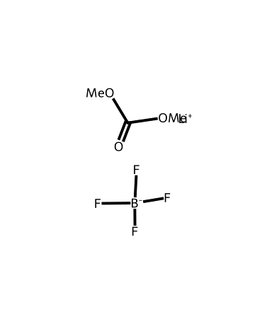 COC(=O)OC.F[B-](F)(F)F.[Li+]